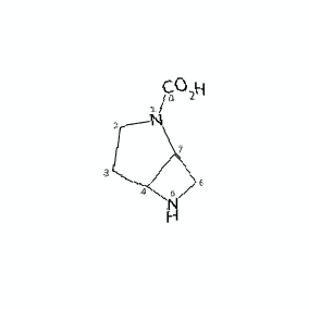 O=C(O)N1CCC2NCC21